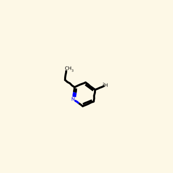 [2H]c1ccnc(CC)c1